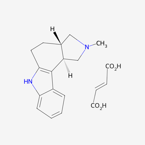 CN1C[C@H]2CCc3[nH]c4ccccc4c3[C@@H]2C1.O=C(O)/C=C/C(=O)O